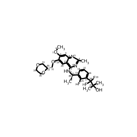 COc1cc2nc(C)nc(N[C@H](C)c3cccc(C(F)(F)C(C)(C)O)c3F)c2cc1OC[C@H]1COCCO1